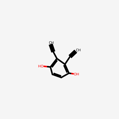 C#Cc1c(O)ccc(O)c1C#C